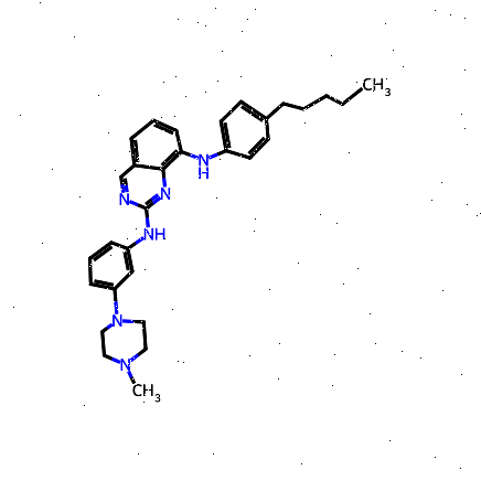 CCCCCc1ccc(Nc2cccc3cnc(Nc4cccc(N5CCN(C)CC5)c4)nc23)cc1